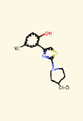 N#Cc1ccc(O)c(-c2csc(N3CCC(C=O)CC3)n2)c1